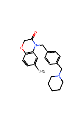 O=Cc1ccc2c(c1)N(Cc1ccc(CN3CCCCC3)cc1)C(=O)CO2